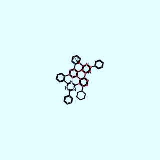 N#Cc1ccccc1-c1ccc(-c2ccccc2-c2nc(-c3ccccc3)nc(-c3ccccc3C3CCCCC3)n2)cc1-c1ccccc1-c1nc(-c2ccccc2)nc(-c2ccccc2C2CCCCC2)n1